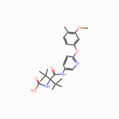 COc1cc(Oc2ccc(NC(=O)C(NC(=O)O)(C(C)(C)C)C(C)(C)C)cn2)ccc1C